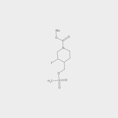 CC(C)(C)OC(=O)N1CCC(COS(C)(=O)=O)C(F)C1